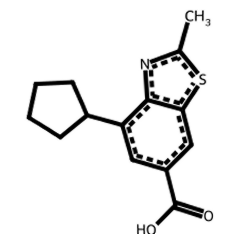 Cc1nc2c(C3CCCC3)cc(C(=O)O)cc2s1